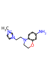 C[n+]1ccn(CCN2CCOc3cc(N)ccc32)c1